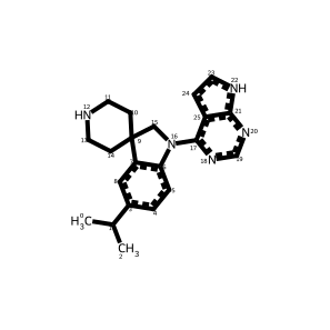 CC(C)c1ccc2c(c1)C1(CCNCC1)CN2c1ncnc2[nH]ccc12